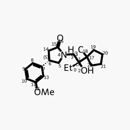 CC[C@@](O)(CN1C[C@H](c2cccc(OC)c2)CC1=O)C1(C)CCCC1